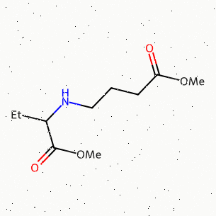 CCC(NCCCC(=O)OC)C(=O)OC